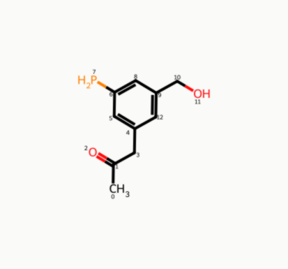 CC(=O)Cc1cc(P)cc(CO)c1